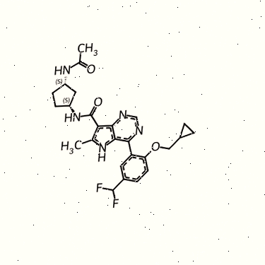 CC(=O)N[C@H]1CC[C@H](NC(=O)c2c(C)[nH]c3c(-c4cc(C(F)F)ccc4OCC4CC4)ncnc23)C1